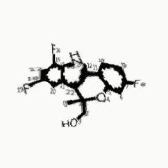 CC1(CO)Oc2cc(F)ccc2-c2[nH]c3c(F)cc(F)cc3c21